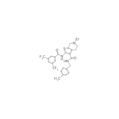 CCN1CCc2c(sc(NC(=O)c3cc(C(F)(F)F)cc(C(F)(F)F)c3)c2C(=O)NCc2ccc(C)cc2)C1